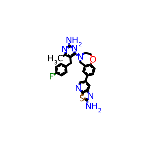 Cc1nc(N)nc(N2CCOc3ccc(-c4cnc5sc(N)nc5c4)cc3C2)c1Cc1ccc(F)cc1